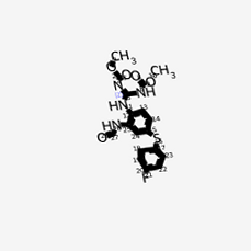 COC(=O)/N=C(\NC(=O)OC)Nc1ccc(Sc2ccc(F)cc2)cc1NC=O